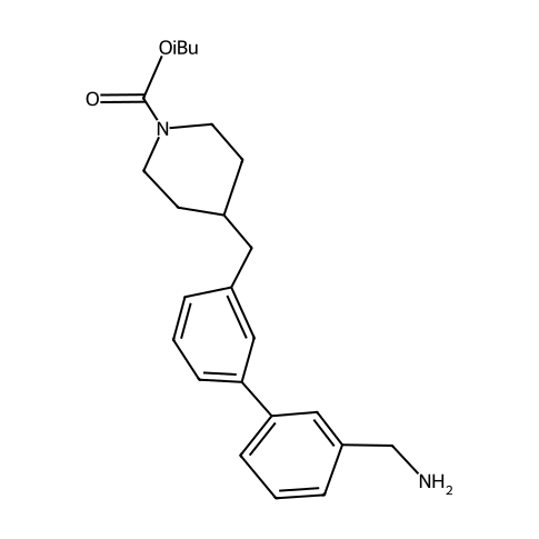 CC(C)COC(=O)N1CCC(Cc2cccc(-c3cccc(CN)c3)c2)CC1